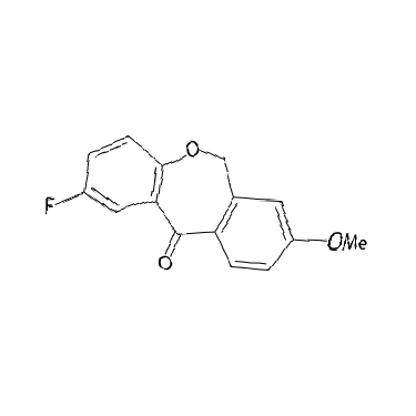 COc1ccc2c(c1)COc1ccc(F)cc1C2=O